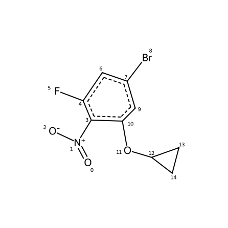 O=[N+]([O-])c1c(F)cc(Br)cc1OC1CC1